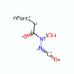 CCCCCCC(=O)N(O)N=C=O